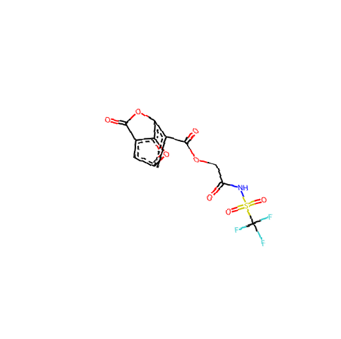 O=C(COC(=O)c1c2c3oc1cc3C(=O)O2)NS(=O)(=O)C(F)(F)F